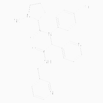 CC(C)(C)c1ccc(N(C(=O)C2CCCN2C#N)C(C(=O)NCc2cccnc2)c2cccnc2)cc1